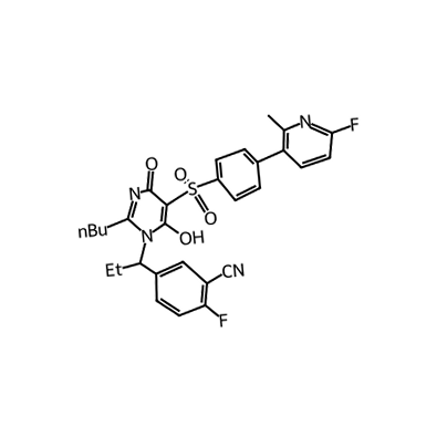 CCCCc1nc(=O)c(S(=O)(=O)c2ccc(-c3ccc(F)nc3C)cc2)c(O)n1C(CC)c1ccc(F)c(C#N)c1